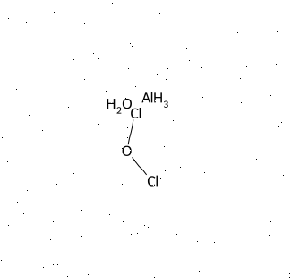 ClOCl.O.[AlH3]